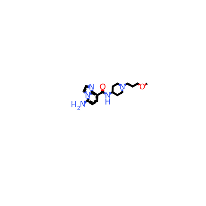 COCCCN1CCC(NC(=O)c2ccc(N)n3ccnc23)CC1